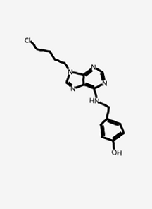 Oc1ccc(CNc2ncnc3c2ncn3CCCCCl)cc1